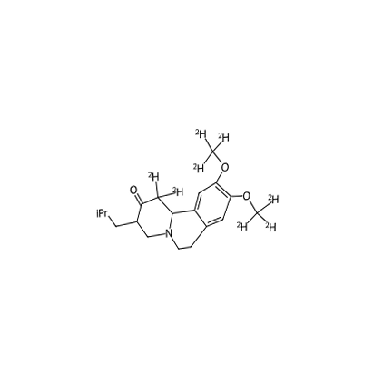 [2H]C([2H])([2H])Oc1cc2c(cc1OC([2H])([2H])[2H])C1N(CC2)CC(CC(C)C)C(=O)C1([2H])[2H]